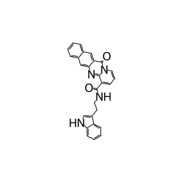 O=C(NCCc1c[nH]c2ccccc12)c1cccn2c(=O)c3cc4ccccc4cc3nc12